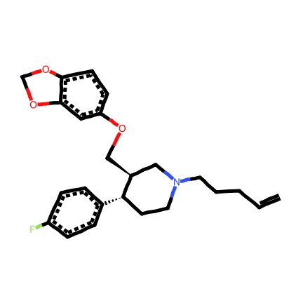 C=CCCCN1CC[C@H](c2ccc(F)cc2)[C@@H](COc2ccc3c(c2)OCO3)C1